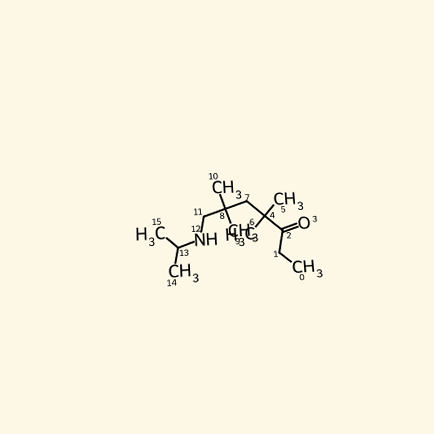 CCC(=O)C(C)(C)CC(C)(C)CNC(C)C